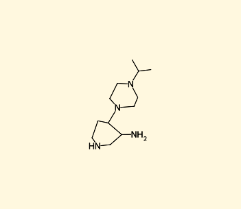 CC(C)N1CCN(C2CCNCC2N)CC1